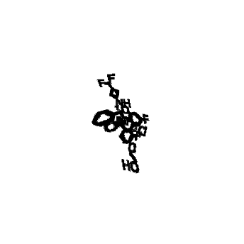 NC(=O)c1ccc(OCCO)c(F)c1-c1c(Cl)c(F)cc2c1C[C@@](CN[C@H]1C[C@H](C(F)F)C1)(c1ccccc1)O2